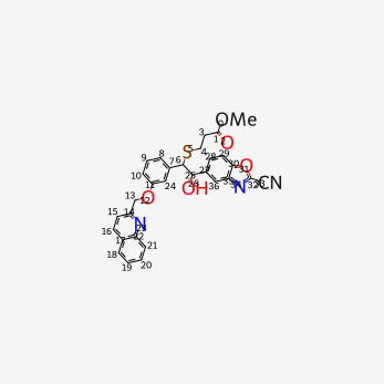 COC(=O)CCSC(c1cccc(OCc2ccc3ccccc3n2)c1)C(O)c1ccc2oc(C#N)nc2c1